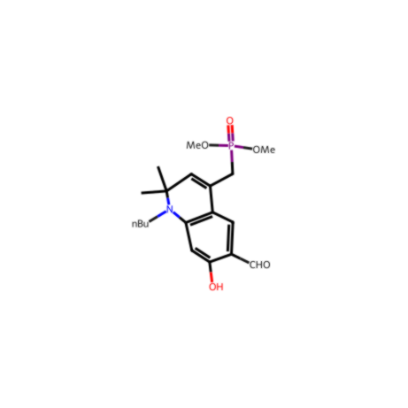 CCCCN1c2cc(O)c(C=O)cc2C(CP(=O)(OC)OC)=CC1(C)C